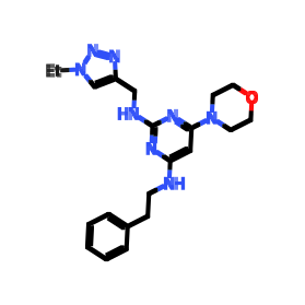 CCn1cc(CNc2nc(NCCc3ccccc3)cc(N3CCOCC3)n2)nn1